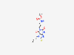 CCCCCn1c(S)nc2c1c(=O)n(CCCNC(=O)OC(C)(C)C)c(=O)n2C